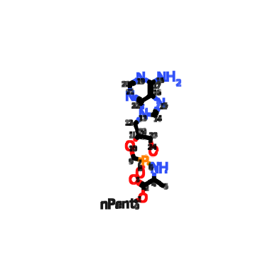 CCCCCOC(=O)C(C)NP1(=O)CO[C@@H](Cn2cnc3c(N)ncnc32)CO1